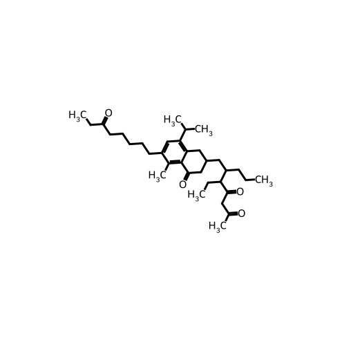 CCCC(CC1CC(=O)c2c(C)c(CCCCCC(=O)CC)cc(C(C)C)c2C1)C(CC)C(=O)CC(C)=O